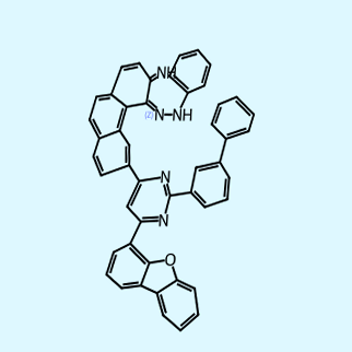 N=C1C=Cc2ccc3ccc(-c4cc(-c5cccc6c5oc5ccccc56)nc(-c5cccc(-c6ccccc6)c5)n4)cc3c2/C1=N/Nc1ccccc1